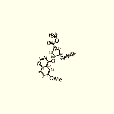 COc1ccc2ncnc(O[C@@H]3CN(C(=O)OC(C)(C)C)C[C@H]3N=[N+]=[N-])c2c1